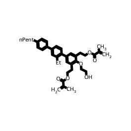 C=C(C)C(=O)OCCc1cc(-c2ccc(-c3ccc(CCCCC)cc3)cc2CC)cc(CCOC(=O)C(=C)C)c1OCCO